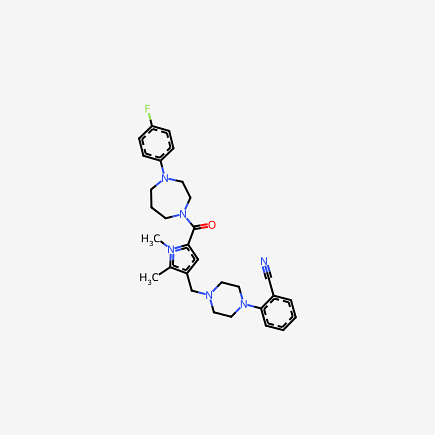 Cc1c(CN2CCN(c3ccccc3C#N)CC2)cc(C(=O)N2CCCN(c3ccc(F)cc3)CC2)n1C